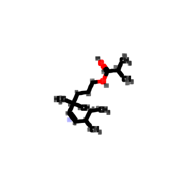 CCC(C)/C=C\C(C)(C)CCCOC(=O)C(C)C